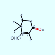 CC1=C(C=O)C(C)(C)C(C)CC1=O